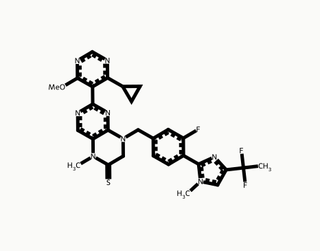 COc1ncnc(C2CC2)c1-c1ncc2c(n1)N(Cc1ccc(-c3nc(C(C)(F)F)cn3C)c(F)c1)CC(=S)N2C